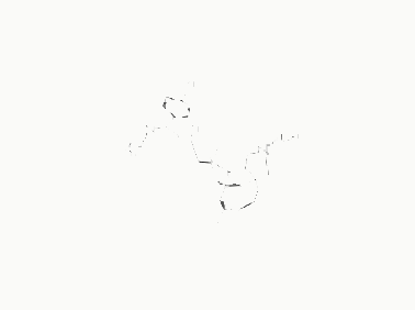 CC(=O)N(C)C(C)c1cc(C)c(Cl)cc1N1CCN(C(=O)[C@@H]2CN(C(C)(C)C)CC23/C=C(F)/C=C(F)\C=C/C3)CC1